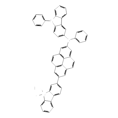 C[Si]1(C)c2ccccc2-c2ccc(-c3cc4ccc5cc(N(c6ccccc6)c6ccc7c(c6)c6ccccc6n7-c6ccccc6)cc6ccc(c3)c4c56)cc21